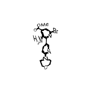 COC(=O)c1cc(Br)nc(-c2ccc(N3CCOCC3)nc2)c1N